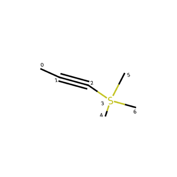 CC#CS(C)(C)C